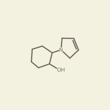 OC1CCCCC1N1CC=CC1